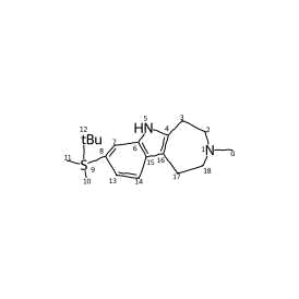 CN1CCc2[nH]c3cc(S(C)(C)C(C)(C)C)ccc3c2CC1